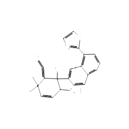 CC1(C)C=CC(N)C(C(=O)O)(c2ccc3cccc(-c4nccs4)c3c2)C1=C=O